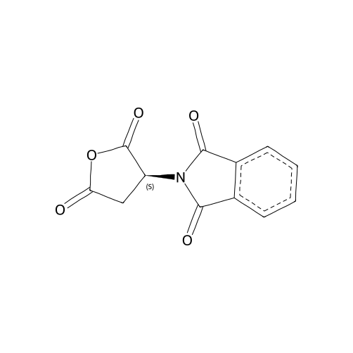 O=C1C[C@H](N2C(=O)c3ccccc3C2=O)C(=O)O1